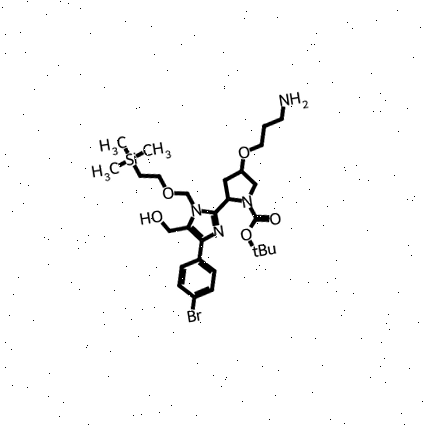 CC(C)(C)OC(=O)N1CC(OCCCN)CC1c1nc(-c2ccc(Br)cc2)c(CO)n1COCC[Si](C)(C)C